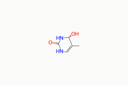 CC1=CNC(=O)N[C@H]1O